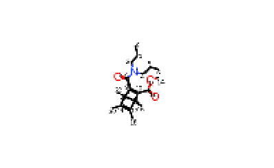 CCCN(CCC)C(=O)C1=C(C(=O)OC)C2(C)C(C)=C(C)C12C